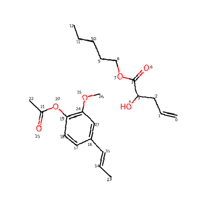 C=CCC(O)C(=O)OCCCCC.CC=Cc1ccc(OC(C)=O)c(OC)c1